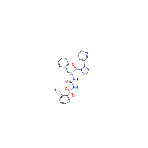 Cc1ccccc1S(=O)(=O)NC(=O)N[C@@H](Cc1ccccc1)C(=O)N1CCCC1c1cccnc1